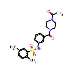 CC(=O)N1CCN(C(=O)c2cccc(NS(=O)(=O)c3cc(C)ccc3C)c2)CC1